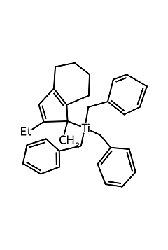 CCC1=CC2=C(CCCC2)[C]1(C)[Ti]([CH2]c1ccccc1)([CH2]c1ccccc1)[CH2]c1ccccc1